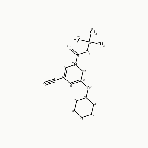 [C]#CC1=CN(C(=O)OC(C)(C)C)CC(OC2CCCCC2)=C1